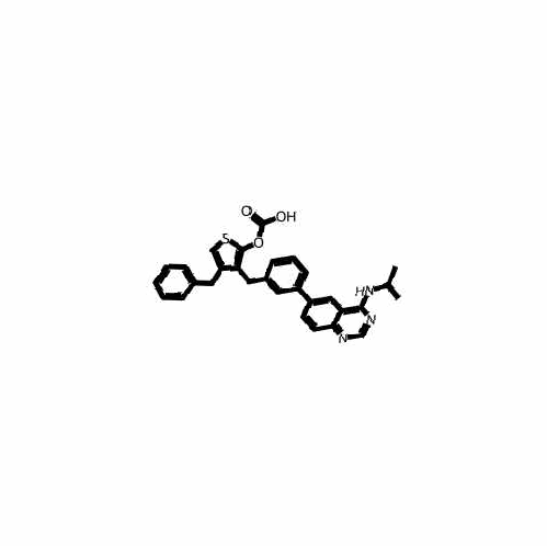 CC(C)Nc1ncnc2ccc(-c3cccc(Cc4c(Cc5ccccc5)csc4OC(=O)O)c3)cc12